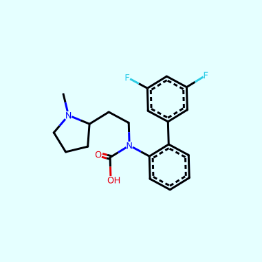 CN1CCCC1CCN(C(=O)O)c1ccccc1-c1cc(F)cc(F)c1